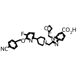 N#Cc1ccc(COc2nc(C3CCN(Cc4nc5ccc(C(=O)O)cc5n4C[C@@H]4CCO4)CC3)ccc2F)cc1